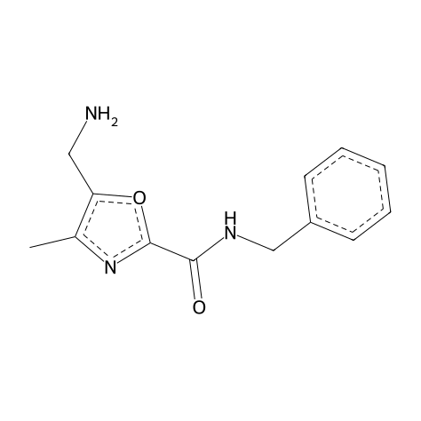 Cc1nc(C(=O)NCc2ccccc2)oc1CN